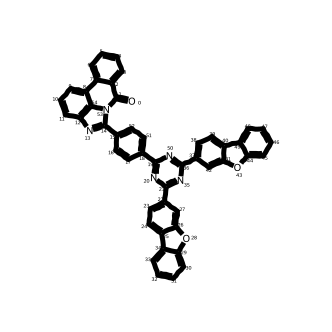 O=c1c2ccccc2c2cccc3nc(-c4ccc(-c5nc(-c6ccc7c(c6)oc6ccccc67)nc(-c6ccc7c(c6)oc6ccccc67)n5)cc4)n1c32